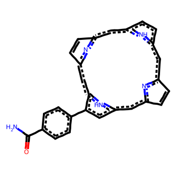 NC(=O)c1ccc(-c2cc3cc4nc(cc5ccc(cc6nc(cc2[nH]3)C=C6)[nH]5)C=C4)cc1